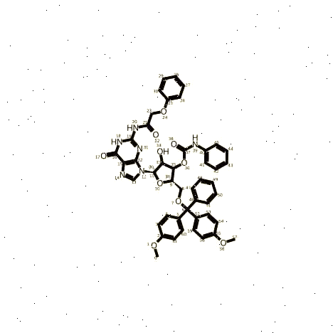 COc1ccc(C(OC[C@H]2O[C@@H](n3cnc4c(=O)[nH]c(NC(=O)COc5ccccc5)nc43)C(O)C2OC(=O)Nc2ccccc2)(c2ccccc2)c2ccc(OC)cc2)cc1